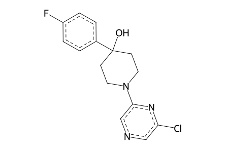 OC1(c2ccc(F)cc2)CCN(c2cncc(Cl)n2)CC1